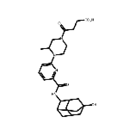 CC1CN(C(=O)CCC(=O)O)CCN1c1cccc(C(=O)NC2C3CC4CC2CC(O)(C4)C3)n1